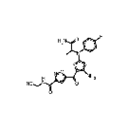 CC(C(N)=O)N(c1ccc(F)cc1)c1nc(N)c(C(=O)c2cc(C(=O)NCC#N)no2)s1